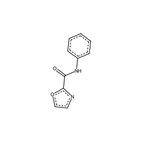 O=C(Nc1[c]cccc1)c1ncco1